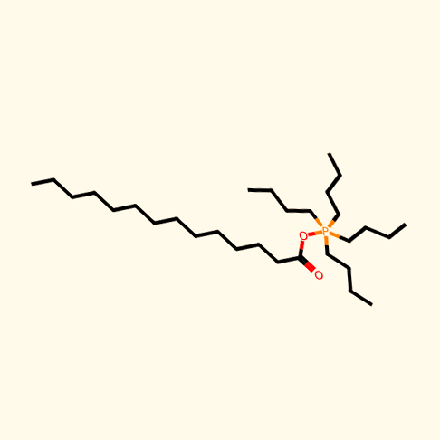 CCCCCCCCCCCCCC(=O)OP(CCCC)(CCCC)(CCCC)CCCC